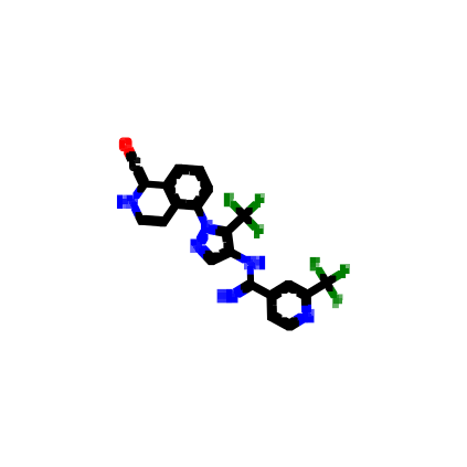 N=C(Nc1cnn(-c2cccc3c2C=CNC3=C=O)c1C(F)(F)F)c1ccnc(C(F)(F)F)c1